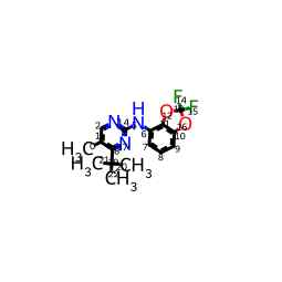 Cc1cnc(Nc2cccc3c2OC(F)(F)O3)nc1C(C)(C)C